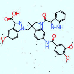 COc1ccc2c(c1)c(C(=O)O)nn2CC(C)(CNC(=O)c1n[nH]c2ccccc12)c1ccc(NC(=O)c2ccc(OC)c(OC)c2)cc1